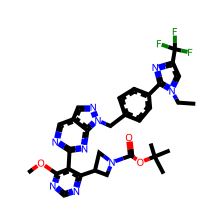 CCn1cc(C(F)(F)F)nc1-c1ccc(Cn2ncc3cnc(-c4c(OC)ncnc4C4CN(C(=O)OC(C)(C)C)C4)nc32)cc1